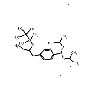 CCC(Cc1ccc(B(OC(C)C)OC(C)C)cc1)O[Si](C)(C)C(C)(C)C